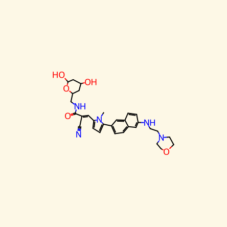 Cn1c(/C=C(\C#N)C(=O)NCC2CC(O)CC(O)O2)ccc1-c1ccc2cc(NCCN3CCOCC3)ccc2c1